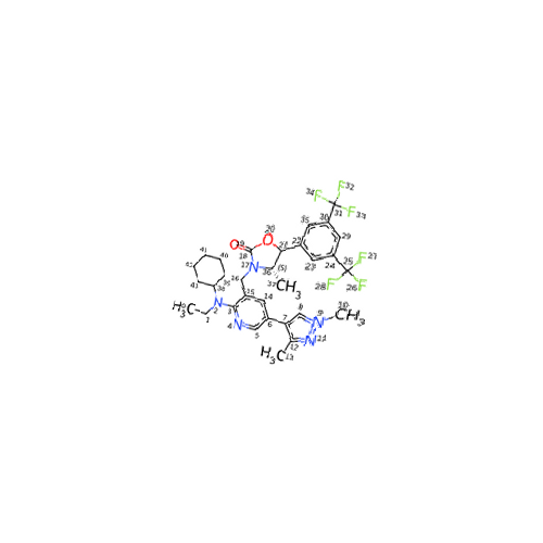 CCN(c1ncc(-c2cn(C)nc2C)cc1CN1C(=O)OC(c2cc(C(F)(F)F)cc(C(F)(F)F)c2)[C@@H]1C)C1CCCCC1